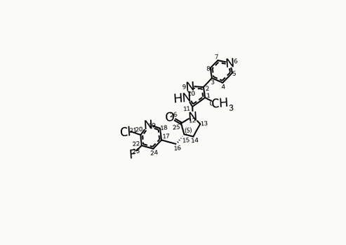 Cc1c(-c2ccncc2)n[nH]c1N1CC[C@H](Cc2cnc(Cl)c(F)c2)C1=O